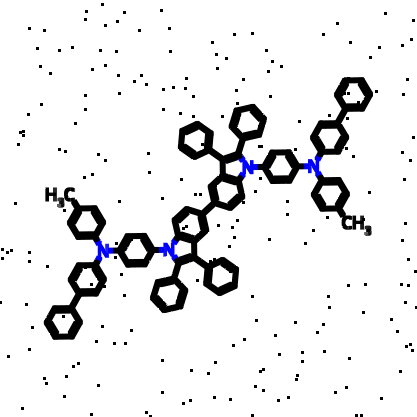 Cc1ccc(N(c2ccc(-c3ccccc3)cc2)c2ccc(-n3c(-c4ccccc4)c(-c4ccccc4)c4cc(-c5ccc6c(c5)c(-c5ccccc5)c(-c5ccccc5)n6-c5ccc(N(c6ccc(C)cc6)c6ccc(-c7ccccc7)cc6)cc5)ccc43)cc2)cc1